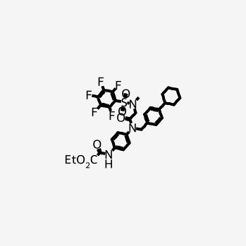 CCOC(=O)C(=O)Nc1ccc(N(Cc2ccc(C3CCCCC3)cc2)C(=O)CN(C)S(=O)(=O)c2c(F)c(F)c(F)c(F)c2F)cc1